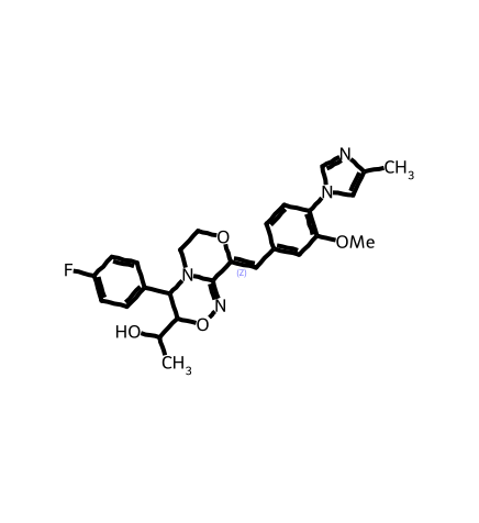 COc1cc(/C=C2\OCCN3C2=NOC(C(C)O)C3c2ccc(F)cc2)ccc1-n1cnc(C)c1